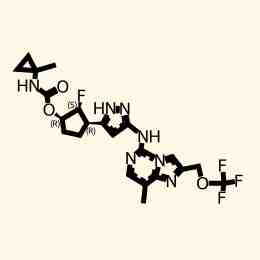 Cc1cnc(Nc2cc([C@H]3CC[C@@H](OC(=O)NC4(C)CC4)[C@H]3F)[nH]n2)n2cc(COC(F)(F)F)nc12